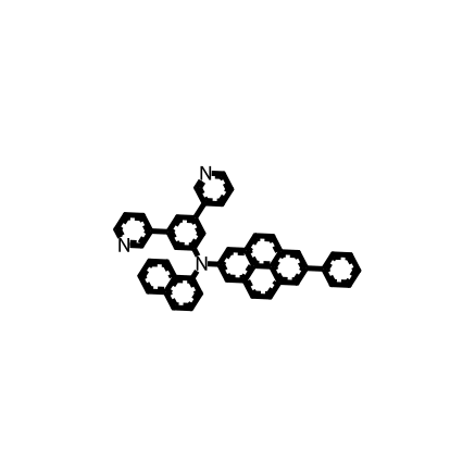 c1ccc(-c2cc3ccc4cc(N(c5cc(-c6cccnc6)cc(-c6cccnc6)c5)c5cccc6ccccc56)cc5ccc(c2)c3c45)cc1